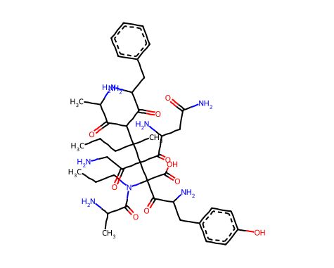 CCCN(C(=O)C(C)N)C(C(=O)O)(C(=O)C(N)Cc1ccc(O)cc1)C(C(=O)CN)(C(=O)C(N)CC(N)=O)C(C)(CCC)C(C(=O)C(C)N)C(=O)C(N)Cc1ccccc1